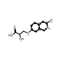 O=C(O)C(O)COc1ccc2cc(Cl)ncc2c1